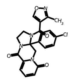 Cc1nocc1C(=O)N1CCN2C(=O)c3cccc(=O)n3CC12c1ccc(Cl)cc1